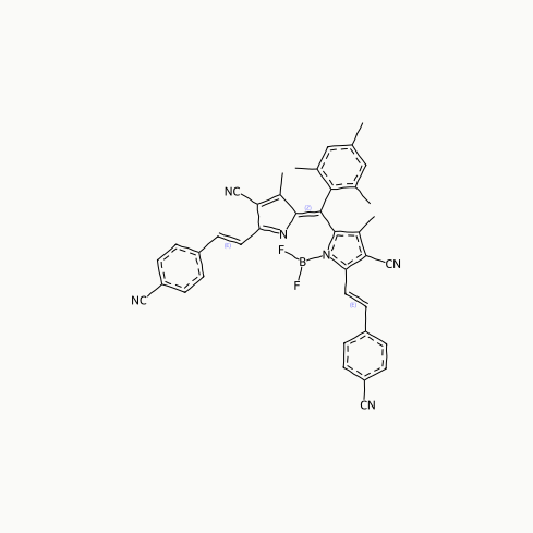 CC1=C(C#N)C(/C=C/c2ccc(C#N)cc2)=NC/1=C(/c1c(C)cc(C)cc1C)c1c(C)c(C#N)c(/C=C/c2ccc(C#N)cc2)n1B(F)F